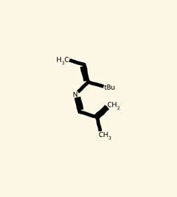 C=C(C)/C=N\C(=C/C)C(C)(C)C